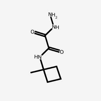 CC1(NC(=O)C(=O)NN)CCC1